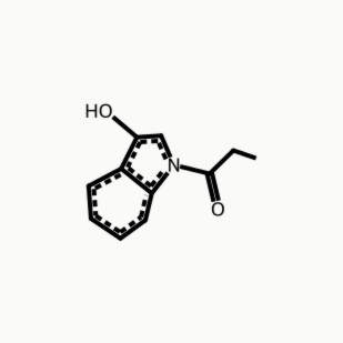 CCC(=O)n1cc(O)c2ccccc21